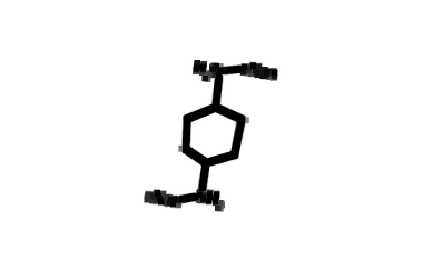 CCCCCCCCC[SiH2]C1[CH]CC([SiH2]CCCCCCCCC)[CH]C1